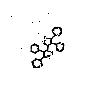 c1ccc(C2=C(c3ccccc3)C(=C3N=NC(c4ccccc4)=C3c3ccccc3)N=N2)cc1